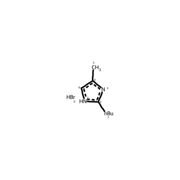 Br.CCCCc1nc(C)c[nH]1